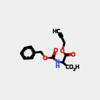 C#CCOC(=O)C(NC(=O)OCc1ccccc1)C(=O)O